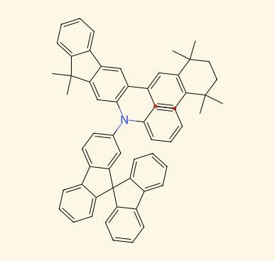 CC1(C)CCC(C)(C)c2cc(-c3cc4c(cc3N(c3ccccc3)c3ccc5c(c3)C3(c6ccccc6-c6ccccc63)c3ccccc3-5)C(C)(C)c3ccccc3-4)ccc21